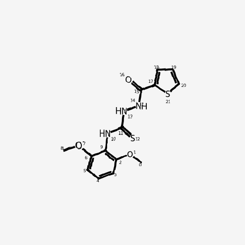 COc1cccc(OC)c1NC(=S)NNC(=O)c1cccs1